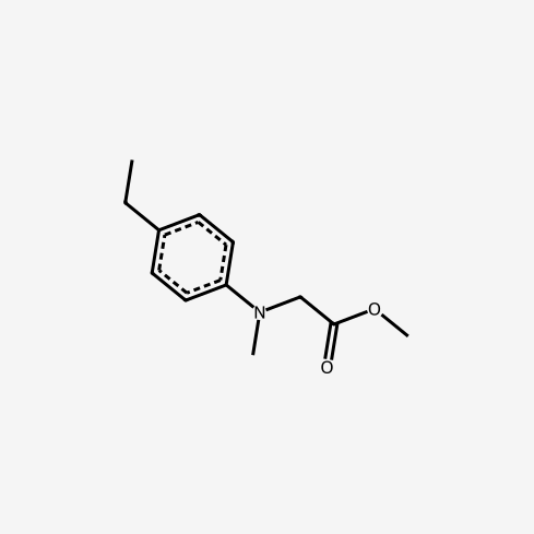 CCc1ccc(N(C)CC(=O)OC)cc1